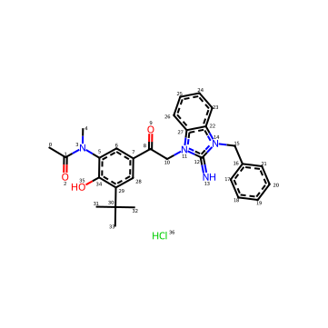 CC(=O)N(C)c1cc(C(=O)Cn2c(=N)n(Cc3ccccc3)c3ccccc32)cc(C(C)(C)C)c1O.Cl